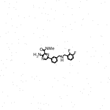 CNC(=O)c1nc(-c2cccc(CNCc3cccc(F)c3F)c2)cnc1N